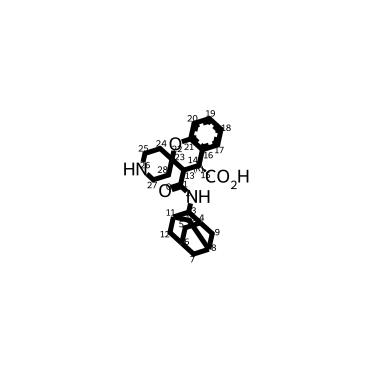 O=C(NC1C2CC3CC(C2)CC1C3)C1[C@@H](C(=O)O)c2ccccc2OC12CCNCC2